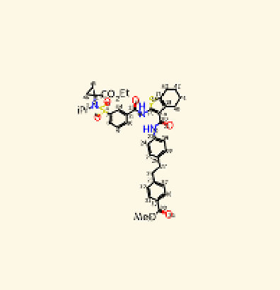 CCOC(=O)C1(N(C(C)C)S(=O)(=O)c2cccc(C(=O)Nc3sc4c(c3C(=O)Nc3ccc(CCc5ccc(C(=O)OC)cc5)cc3)CCCC4)c2)CC1